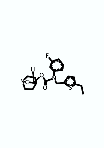 CCc1ccc(CN(C(=O)O[C@H]2CN3CCC2CC3)c2cccc(F)c2)s1